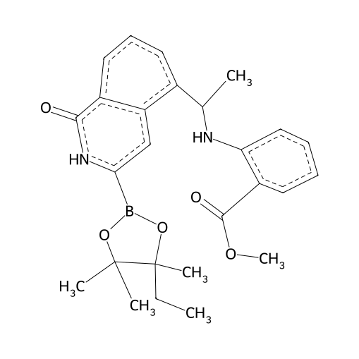 CCC1(C)OB(c2cc3c(C(C)Nc4ccccc4C(=O)OC)cccc3c(=O)[nH]2)OC1(C)C